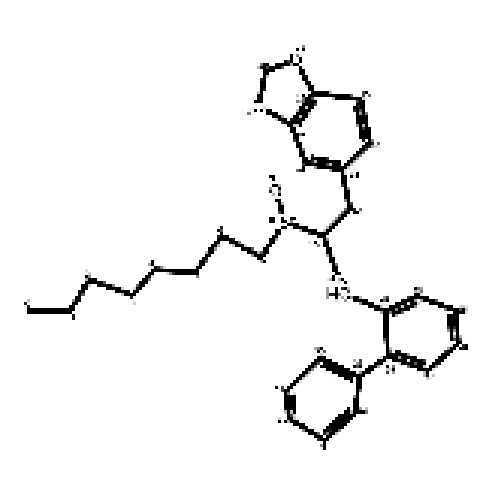 CCCCCCCC[S+]([O-])C(C)Cc1ccc2c(c1)OCO2.Oc1ccccc1-c1ccccc1